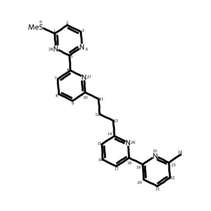 CSc1ccnc(-c2cccc(CCCc3cccc(-c4cccc(C)n4)n3)n2)n1